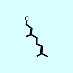 [CH2]/C(C)=C\CC/C(C)=C/CCl